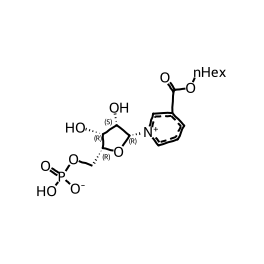 CCCCCCOC(=O)c1ccc[n+]([C@@H]2O[C@H](COP(=O)([O-])O)[C@H](O)[C@@H]2O)c1